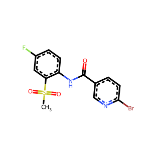 CS(=O)(=O)c1cc(F)ccc1NC(=O)c1ccc(Br)nc1